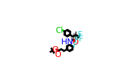 C[C@H]([C@H](C(=O)Nc1cc(CCC(=O)OC(C)(C)C)ccc1F)c1ccc(Cl)cc1)C(F)(F)F